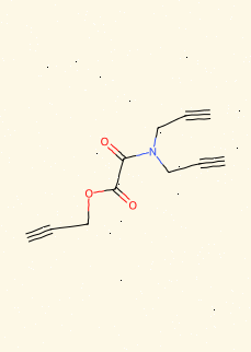 C#CCOC(=O)C(=O)N(CC#C)CC#C